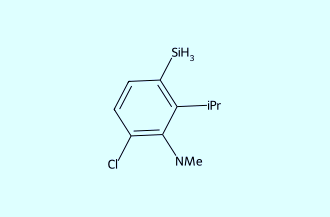 CNc1c(Cl)ccc([SiH3])c1C(C)C